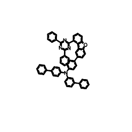 c1ccc(-c2ccc(N(c3ccc(-c4ccc5oc6cccc(-c7nc(-c8ccccc8)nc(-c8ccccc8)n7)c6c5c4)cc3)c3cccc(-c4ccccc4)c3)cc2)cc1